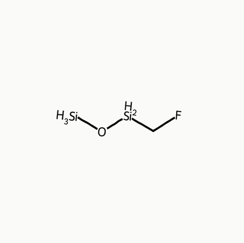 FC[SiH2]O[SiH3]